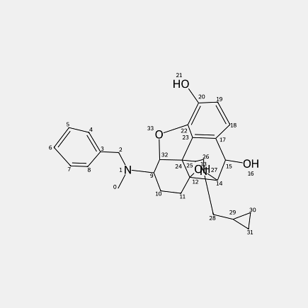 CN(Cc1ccccc1)C1CCC2(O)C3C(O)c4ccc(O)c5c4C2(CCN3CC2CC2)C1O5